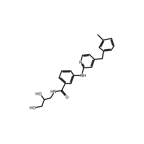 Cc1cccc(Cc2ccnc(Nc3cccc(C(=O)NCC(O)CO)c3)c2)c1